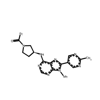 CCCn1c(-c2cnc(C)nc2)nc2c(N[C@H]3CCN(C(=O)CC)C3)ncnc21